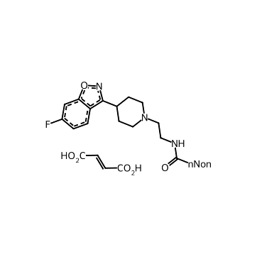 CCCCCCCCCC(=O)NCCN1CCC(c2noc3cc(F)ccc23)CC1.O=C(O)C=CC(=O)O